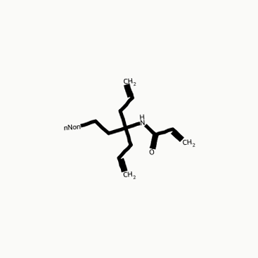 C=CCC(CC=C)(CCCCCCCCCCC)NC(=O)C=C